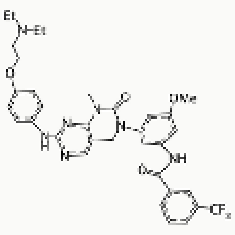 CCN(CC)CCOc1ccc(Nc2ncc3c(n2)N(C)C(=O)N(c2cc(NC(=O)c4cccc(C(F)(F)F)c4)cc(OC)c2)C3)cc1